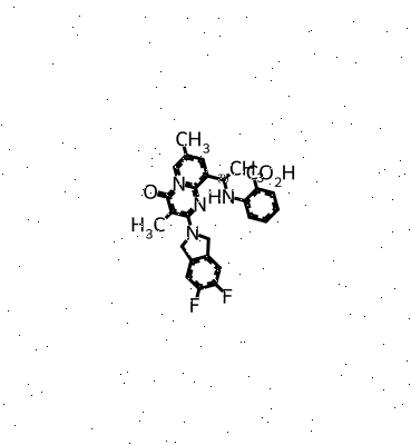 Cc1cc([C@@H](C)Nc2ccccc2C(=O)O)c2nc(N3Cc4cc(F)c(F)cc4C3)c(C)c(=O)n2c1